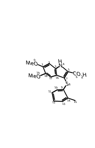 COc1cc2[nH]c(C(=O)O)c(Sc3ccccc3C)c2cc1OC